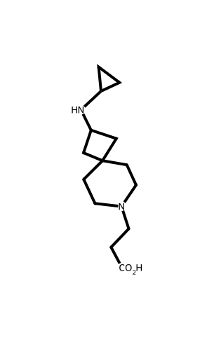 O=C(O)CCN1CCC2(CC1)CC(NC1CC1)C2